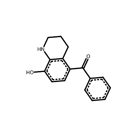 O=C(c1ccccc1)c1ccc(O)c2c1CCCN2